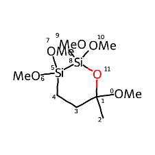 COC1(C)CC[Si](OC)(OC)[Si](OC)(OC)O1